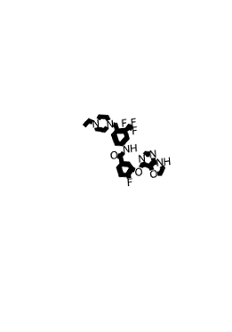 CCN1CCN(Cc2ccc(NC(=O)c3ccc(F)c(Oc4ncnc5c4OCCN5)c3)cc2C(F)(F)F)CC1